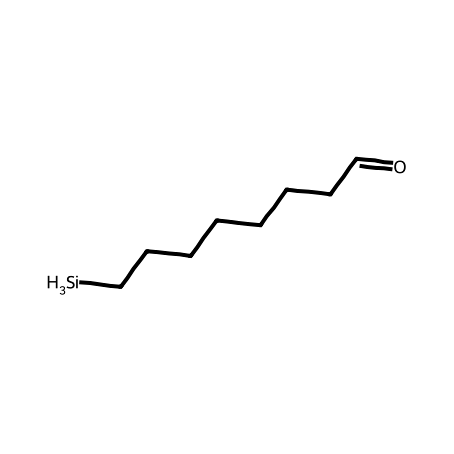 O=CCCCCCCC[SiH3]